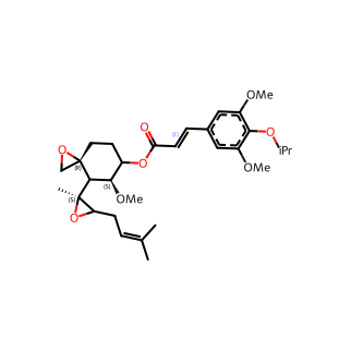 COc1cc(/C=C/C(=O)OC2CC[C@]3(CO3)C([C@]3(C)OC3CC=C(C)C)[C@@H]2OC)cc(OC)c1OC(C)C